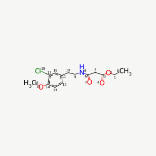 CCOC(=O)CC(=O)NCCc1ccc(OC)c(Cl)c1